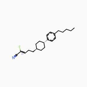 CCCCCc1ccc([C@H]2CC[C@H](CC/C=C(\F)C#N)CC2)cc1